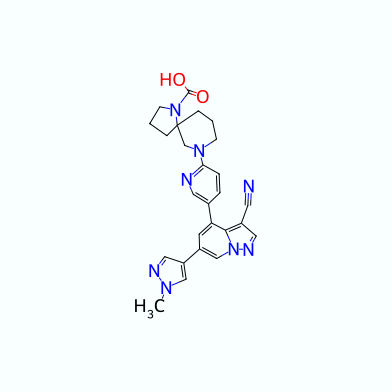 Cn1cc(-c2cc(-c3ccc(N4CCCC5(CCCN5C(=O)O)C4)nc3)c3c(C#N)cnn3c2)cn1